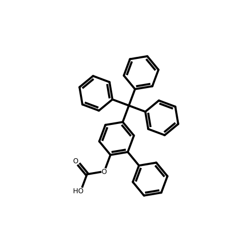 O=C(O)Oc1ccc(C(c2ccccc2)(c2ccccc2)c2ccccc2)cc1-c1ccccc1